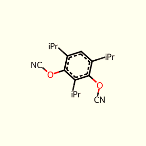 CC(C)c1cc(C(C)C)c(OC#N)c(C(C)C)c1OC#N